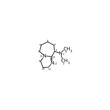 CN(C)C1CCCCN2CCCN=C12